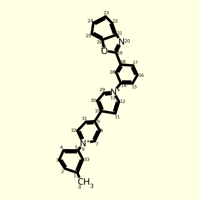 Cc1cccc(-[n+]2ccc(-c3cc[n+](-c4cccc(-c5nc6ccccc6o5)c4)cc3)cc2)c1